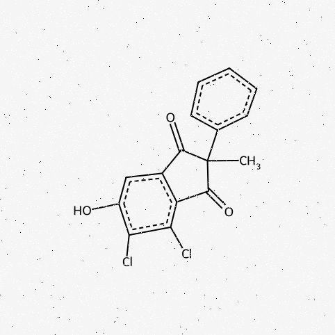 CC1(c2ccccc2)C(=O)c2cc(O)c(Cl)c(Cl)c2C1=O